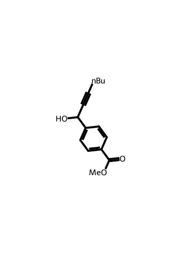 CCCCC#CC(O)c1ccc(C(=O)OC)cc1